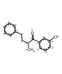 CN(CCc1ccccc1)C(=O)c1cccc(Cl)c1